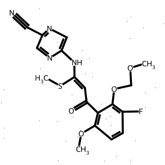 COCOc1c(F)ccc(OC)c1C(=O)/C=C(/Nc1cnc(C#N)cn1)SC